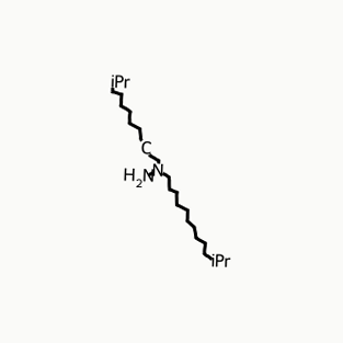 CC(C)CCCCCCCCCCN(N)CCCCCCCCCCC(C)C